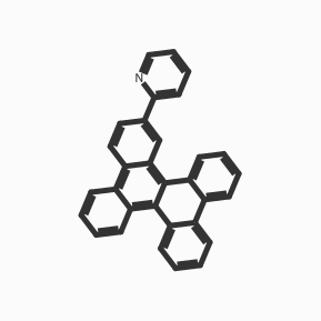 c1ccc(-c2ccc3c4ccccc4c4c5ccccc5c5ccccc5c4c3c2)nc1